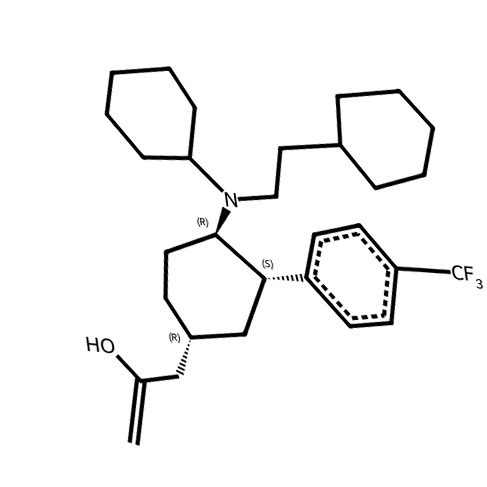 C=C(O)C[C@@H]1CC[C@@H](N(CCC2CCCCC2)C2CCCCC2)[C@H](c2ccc(C(F)(F)F)cc2)C1